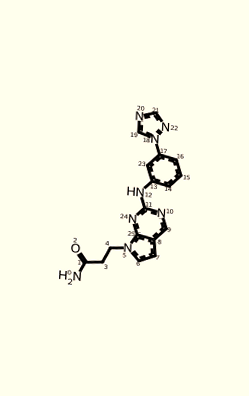 NC(=O)CCn1ccc2cnc(Nc3cccc(-n4cncn4)c3)nc21